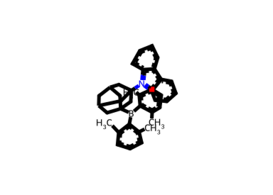 Cc1cccc(C)c1B(c1c(C)cccc1C)C12CC3CC(C1)CC(n1c4ccccc4c4ccccc41)(C3)C2